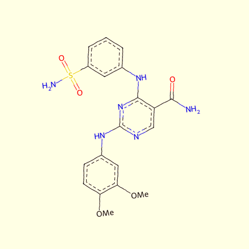 COc1ccc(Nc2ncc(C(N)=O)c(Nc3cccc(S(N)(=O)=O)c3)n2)cc1OC